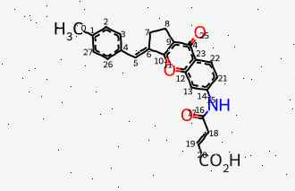 Cc1ccc(C=C2CCc3c2oc2cc(NC(=O)/C=C/C(=O)O)ccc2c3=O)cc1